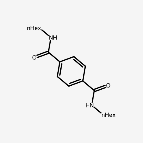 CCCCCCNC(=O)c1ccc(C(=O)NCCCCCC)cc1